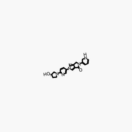 O=C1c2cn(-c3ccc(N4CC[C@H](O)C4)nc3)nc2CN1C1=CC=CNC1